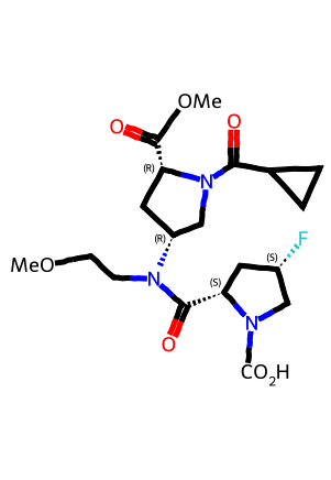 COCCN(C(=O)[C@@H]1C[C@H](F)CN1C(=O)O)[C@@H]1C[C@H](C(=O)OC)N(C(=O)C2CC2)C1